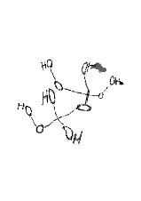 OOC(O)(O)OC(O)(OO)OO